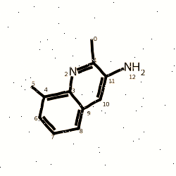 Cc1nc2c(C)cccc2cc1N